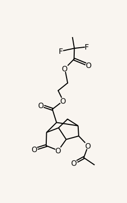 CC(=O)OC1C2CC3C1OC(=O)C3C2C(=O)OCCOC(=O)C(C)(F)F